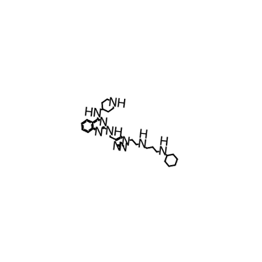 c1ccc2c(NC3CCNCC3)nc(NCc3cn(CCNCCCNC4CCCCC4)nn3)nc2c1